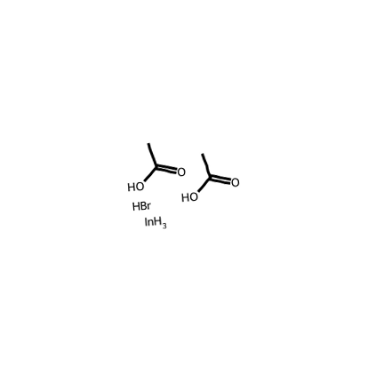 Br.CC(=O)O.CC(=O)O.[InH3]